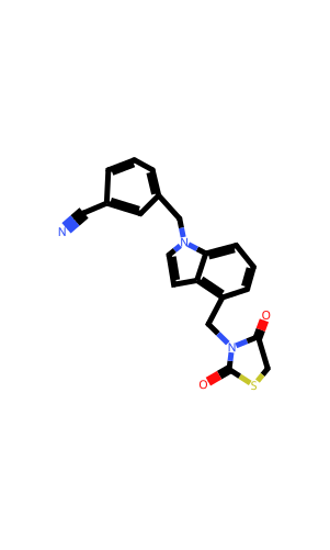 N#Cc1cccc(Cn2ccc3c(CN4C(=O)CSC4=O)cccc32)c1